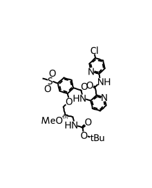 CO[C@@H](CNC(=O)OC(C)(C)C)COc1cc(S(C)(=O)=O)ccc1C(=O)Nc1cccnc1C(=O)Nc1ccc(Cl)cn1